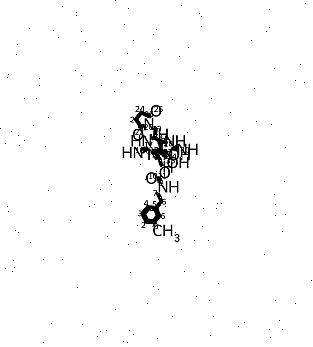 Cc1cccc(CCNC(=O)OC2CN3C(=N)NC(CN4C(=O)CCC4=O)[C@@H]4NC(=N)N[C@@]43C2(O)O)c1